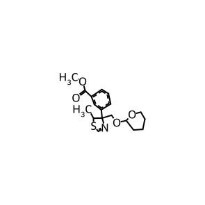 COC(=O)c1cccc(C2(COC3CCCCO3)N=CSC2C)c1